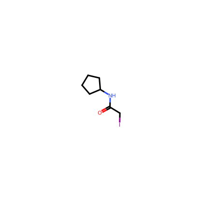 O=C(CI)NC1CCCC1